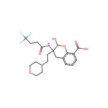 O=C(CCC(F)(F)F)NC1(CCN2CCOCC2)Cc2cccc(C(=O)O)c2OB1O